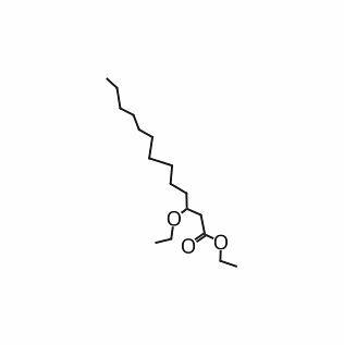 CCCCCCCCCCC(CC(=O)OCC)OCC